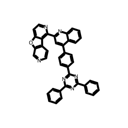 c1ccc(-c2nc(-c3ccccc3)nc(-c3ccc(-c4cc(-c5nccc6oc7cnccc7c56)nc5ccccc45)cc3)n2)cc1